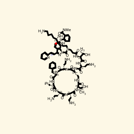 CNC(=O)c1ccccc1Sc1ccc2c(/C=C/c3ccccn3)nn(C(=O)N(CCNC(=O)[C@@H](N)CCCCN)CCC(=O)N[C@H](C(=O)N[C@@H](CCN)C(=O)N[C@H]3CCNC(=O)[C@@H]([C@@H](C)O)NC(=O)[C@H](CCN)NC(=O)[C@H](CCN)NC(=O)[C@H](CC(C)C)NC(=O)[C@@H](Cc4ccccc4)NC(=O)[C@H](CCN)NC3=O)[C@@H](C)O)c2c1